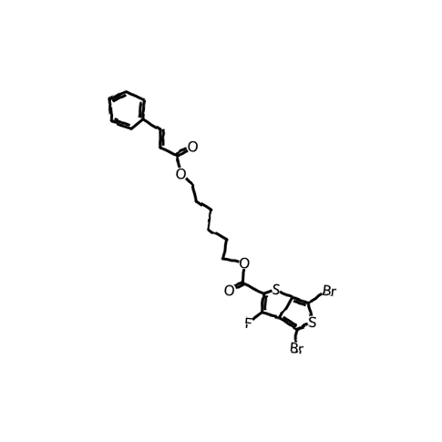 O=C(C=Cc1ccccc1)OCCCCCCOC(=O)c1sc2c(Br)sc(Br)c2c1F